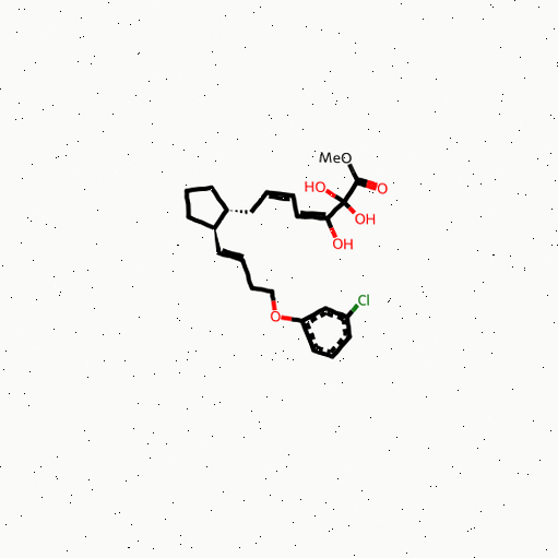 COC(=O)C(O)(O)/C(O)=C\C=C/C[C@H]1CCC[C@@H]1/C=C/CCOc1cccc(Cl)c1